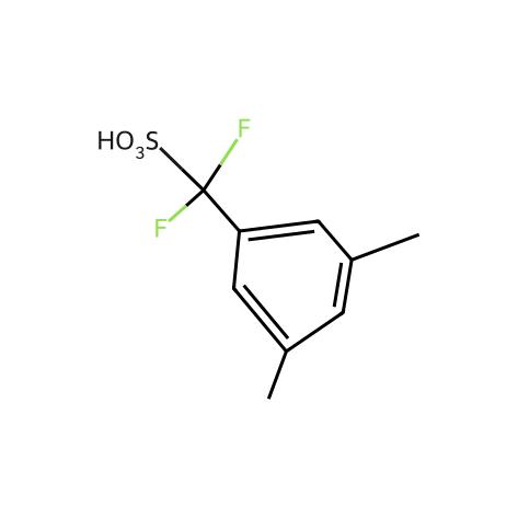 Cc1cc(C)cc(C(F)(F)S(=O)(=O)O)c1